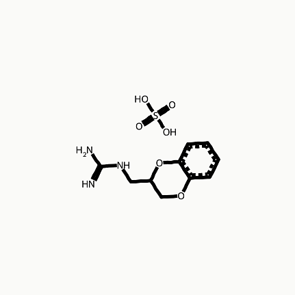 N=C(N)NCC1COc2ccccc2O1.O=S(=O)(O)O